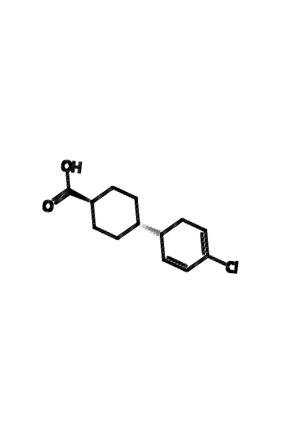 O=C(O)[C@H]1CC[C@H](C2C=CC(Cl)=CC2)CC1